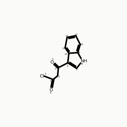 O=C(Cl)CC(=O)c1c[nH]c2ccccc12